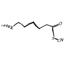 CCCCCCCCCCCC(=O)SC#N